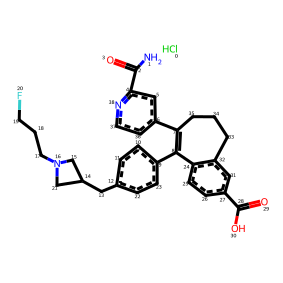 Cl.NC(=O)c1cc(C2=C(c3ccc(CC4CN(CCCF)C4)cc3)c3ccc(C(=O)O)cc3CCC2)ccn1